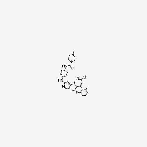 CN1CCN(C(=O)Nc2ccc(Nc3ncc4c(n3)C3=CN=C(Cl)C=C(c5c(F)cccc5F)C3=CC4)cc2)CC1